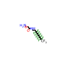 NOCC(=O)NCCC(F)(F)C(F)(F)C(F)(F)C(F)(F)C(F)(F)C(F)(F)F